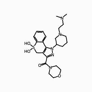 CN(C)CCN1CCCC(n2nc(C(=O)N3CCOCC3)c3c2-c2ccccc2S(O)(O)C3)C1